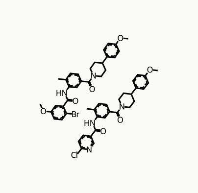 COc1ccc(C2CCN(C(=O)c3ccc(C)c(NC(=O)c4cc(OC)ccc4Br)c3)CC2)cc1.COc1ccc(C2CCN(C(=O)c3ccc(C)c(NC(=O)c4ccc(Cl)nc4)c3)CC2)cc1